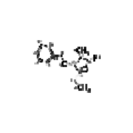 CC[C@H]1O[C@@H](F)C(C)[C@H]1OCc1ccccc1